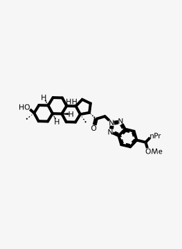 CCCC(OC)c1ccc2nn(CC(=O)[C@H]3CC[C@H]4[C@@H]5CC[C@@H]6C[C@](C)(O)CC[C@@H]6[C@H]5CC[C@]34C)nc2c1